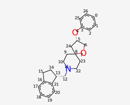 c1ccc(O[C@@H]2COC3(CCN(C[C@H]4CCc5ccccc54)CC3)C2)cc1